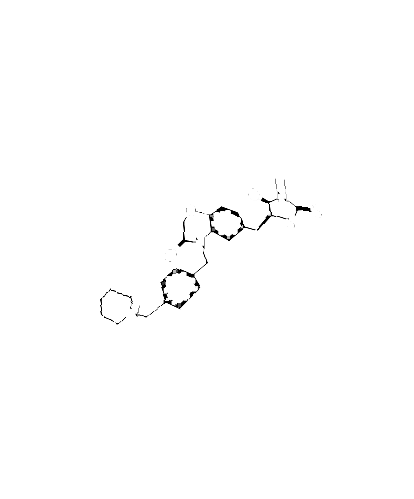 O=C1NC(=S)S/C1=C/c1ccc2c(c1)N(Cc1ccc(CN3CCCCC3)cc1)C(=O)CO2